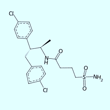 C[C@@H](NC(=O)CCCS(N)(=O)=O)[C@H](Cc1ccc(Cl)cc1)c1ccc(Cl)cc1